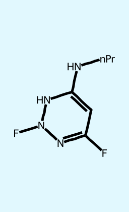 CCCNC1=CC(F)=NN(F)N1